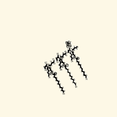 C=CC(C)[N+](CCCCC)(CCCCC)CCCNC(=O)CCCCCCCCCCC.C=CC(C)[N+](CCCCC)(CCCCC)CCCNC(=O)CCCCCCCCCCC.C=CC(C)[N+](CCCCC)(CCCCC)CCCNC(=O)CCCCCCCCCCC.O=P([O-])([O-])[O-]